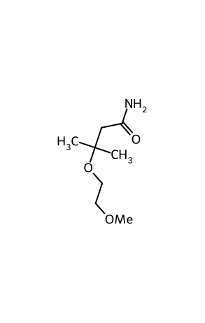 COCCOC(C)(C)CC(N)=O